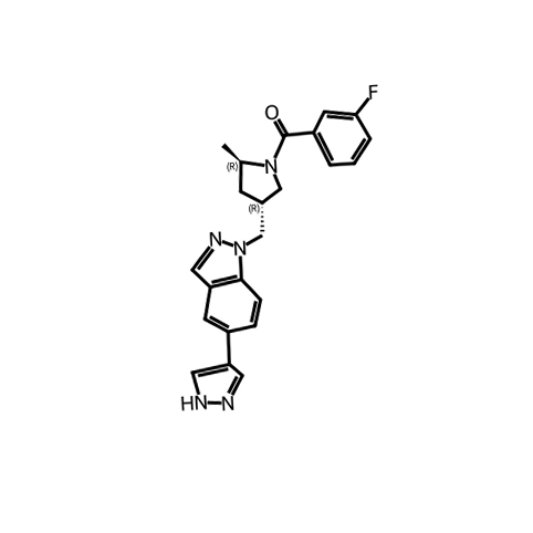 C[C@@H]1C[C@@H](Cn2ncc3cc(-c4cn[nH]c4)ccc32)CN1C(=O)c1cccc(F)c1